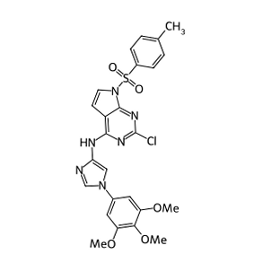 COc1cc(-n2cnc(Nc3nc(Cl)nc4c3ccn4S(=O)(=O)c3ccc(C)cc3)c2)cc(OC)c1OC